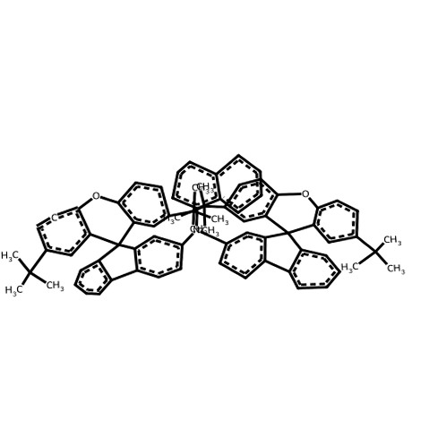 CC(C)(C)c1ccc2c(c1)C1(c3cc(C(C)(C)C)ccc3O2)c2ccccc2-c2ccc(N(c3ccc4c(c3)C3(c5cc(C(C)(C)C)ccc5Oc5ccc(C(C)(C)C)cc53)c3ccccc3-4)c3cccc4ccccc34)cc21